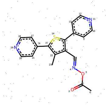 CC(=O)ON=Cc1c(-c2ccncc2)sc(-c2ccncc2)c1C